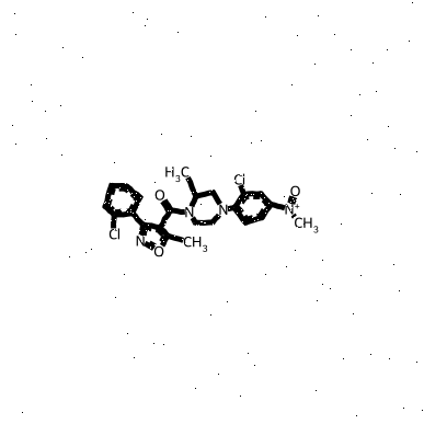 Cc1onc(-c2ccccc2Cl)c1C(=O)N1CCN(c2ccc([N+](C)=O)cc2Cl)CC1C